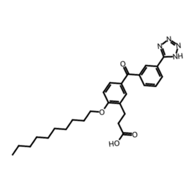 CCCCCCCCCCOc1ccc(C(=O)c2cccc(-c3nnn[nH]3)c2)cc1CCC(=O)O